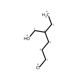 CCC(CO)CCCCl